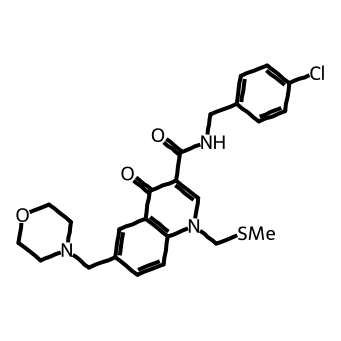 CSCn1cc(C(=O)NCc2ccc(Cl)cc2)c(=O)c2cc(CN3CCOCC3)ccc21